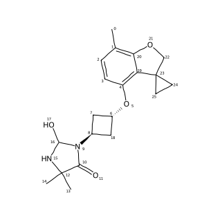 Cc1ccc(O[C@H]2C[C@H](N3C(=O)C(C)(C)NC3O)C2)c2c1OCC21CC1